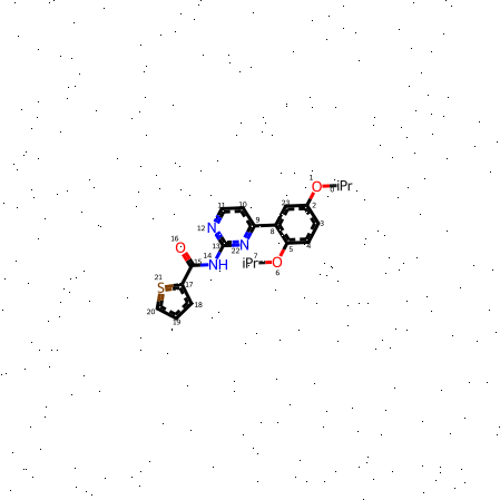 CC(C)Oc1ccc(OC(C)C)c(-c2ccnc(NC(=O)c3cccs3)n2)c1